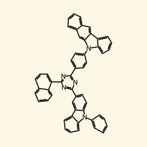 c1ccc(-n2c3ccccc3c3cc(-c4nc(-c5ccc(-n6c7ccccc7c7cc8ccccc8cc76)cc5)nc(-c5cccc6ccccc56)n4)ccc32)cc1